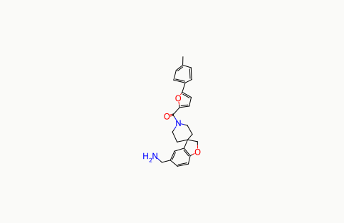 Cc1ccc(-c2ccc(C(=O)N3CCC4(CC3)COc3ccc(CN)cc34)o2)cc1